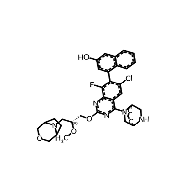 CO[C@@H](COc1nc(N2CC3CCCC2CN3)c2cc(Cl)c(-c3cc(O)cc4ccccc34)c(F)c2n1)CN1C2CCC1COC2